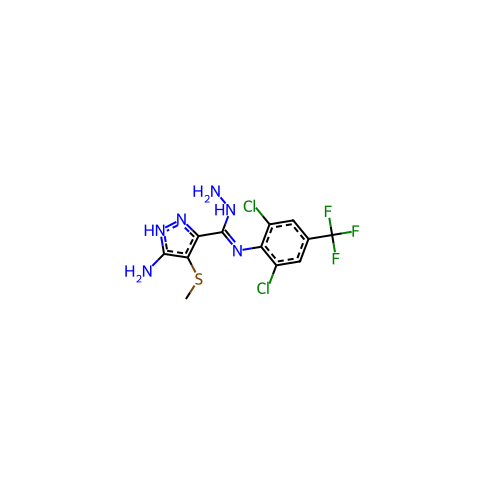 CSc1c(C(=Nc2c(Cl)cc(C(F)(F)F)cc2Cl)NN)n[nH]c1N